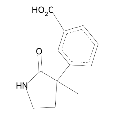 CC1(c2cccc(C(=O)O)c2)CCNC1=O